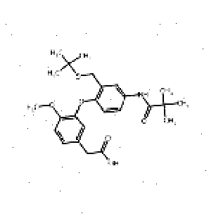 COc1ccc(CC(=O)O)cc1Oc1ccc(NC(=O)C(C)(C)C)cc1CSC(C)(C)C